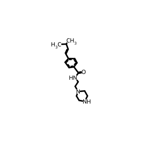 CC(C)/C=C/c1ccc(C(=O)NCCN2CCNCC2)cc1